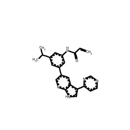 C=CC(=O)Nc1cc(-c2cnc3[nH]cc(-c4ccncn4)c3c2)cc(C(C)C)c1